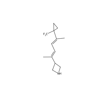 C/C(=C\C=C(/C)C1(C(F)(F)F)CC1)C1CNC1